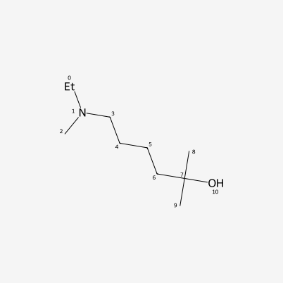 CCN(C)CCCCC(C)(C)O